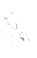 CN1CCN(Cc2c(Oc3ccc([N+](=O)[O-])cc3F)ccnc2NC(=O)OC(C)(C)C)CC1